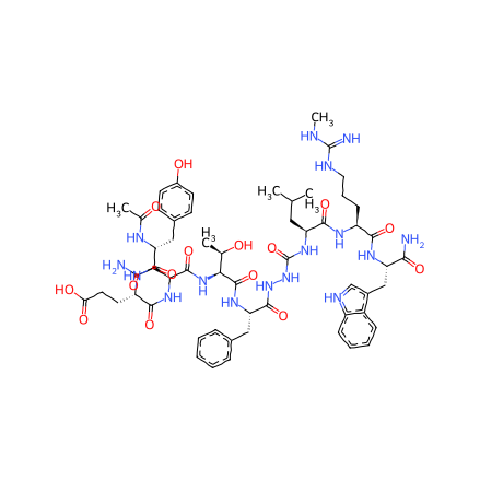 CNC(=N)NCCC[C@H](NC(=O)[C@H](CC(C)C)NC(=O)NNC(=O)[C@H](Cc1ccccc1)NC(=O)[C@@H](NC(=O)[C@H](CC(N)=O)NC(=O)[C@H](CCC(=O)O)NC(=O)[C@@H](Cc1ccc(O)cc1)NC(C)=O)[C@@H](C)O)C(=O)N[C@@H](Cc1c[nH]c2ccccc12)C(N)=O